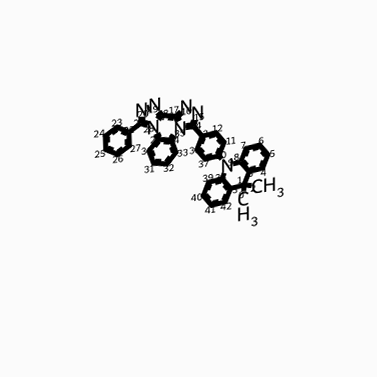 CC1(C)c2ccccc2N(c2ccc(-c3nnc4c5nnc(-c6ccccc6)n5c5ccccc5n34)cc2)c2ccccc21